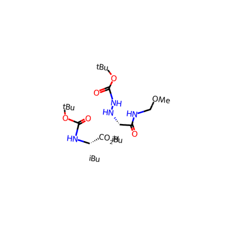 CC[C@H](C)[C@H](NC(=O)OC(C)(C)C)C(=O)O.CC[C@H](C)[C@H](NNC(=O)OC(C)(C)C)C(=O)NCOC